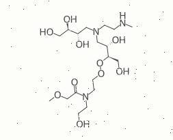 CNCCN(C[C@H](O)[C@H](O)CO)C[C@H](O)[C@@H](CO)OOCCN(CCO)C(=O)COC